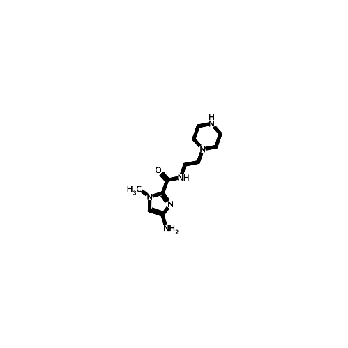 Cn1cc(N)nc1C(=O)NCCN1CCNCC1